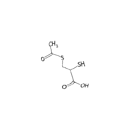 CC(=O)SCC(S)C(=O)O